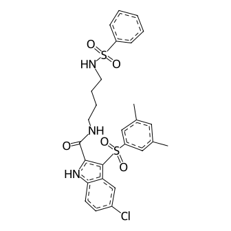 Cc1cc(C)cc(S(=O)(=O)c2c(C(=O)NCCCCNS(=O)(=O)c3ccccc3)[nH]c3ccc(Cl)cc23)c1